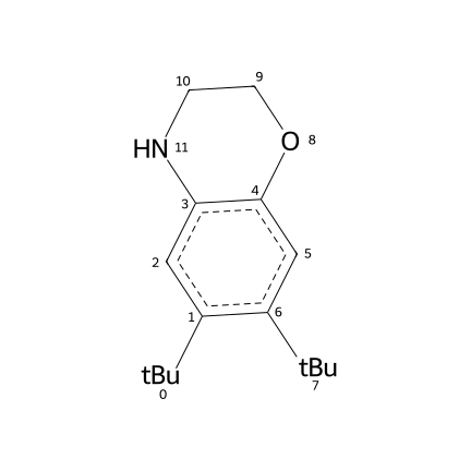 CC(C)(C)c1cc2c(cc1C(C)(C)C)OCCN2